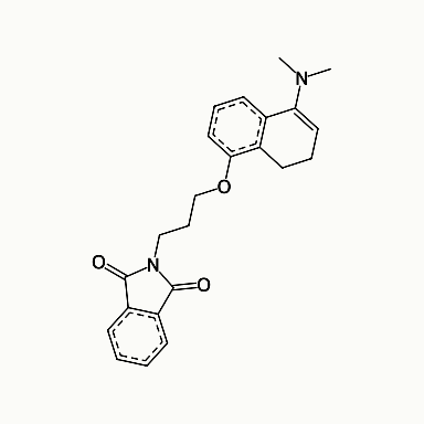 CN(C)C1=CCCc2c(OCCCN3C(=O)c4ccccc4C3=O)cccc21